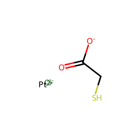 O=C([O-])CS.[Cl-].[Pt+2]